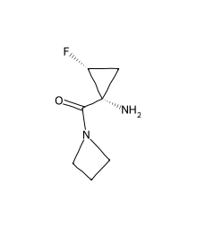 N[C@@]1(C(=O)N2CCC2)C[C@H]1F